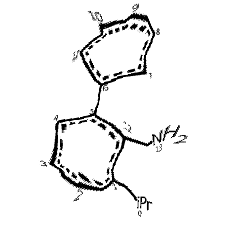 CC(C)c1cccc(-c2ccccc2)c1N